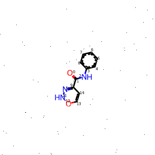 O=C(Nc1ccccc1)C1=NNOC=C1